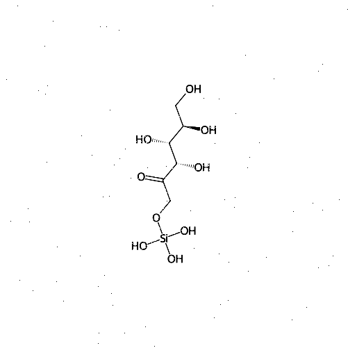 O=C(CO[Si](O)(O)O)[C@@H](O)[C@H](O)[C@H](O)CO